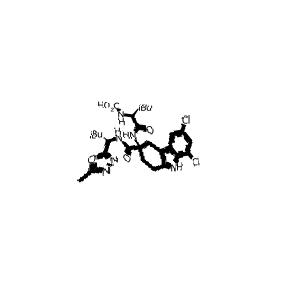 CC[C@H](C)C(NC(=O)O)C(=O)N[C@]1(C(=O)NC(c2nnc(C)o2)[C@@H](C)CC)CCc2[nH]c3c(Cl)cc(Cl)cc3c2C1